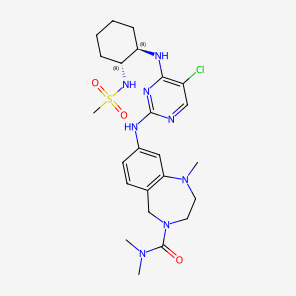 CN(C)C(=O)N1CCN(C)c2cc(Nc3ncc(Cl)c(N[C@@H]4CCCC[C@H]4NS(C)(=O)=O)n3)ccc2C1